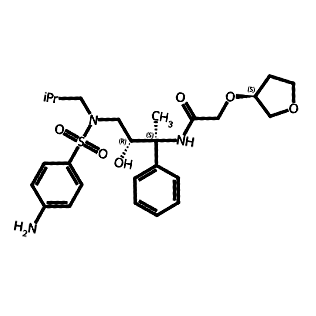 CC(C)CN(C[C@@H](O)[C@@](C)(NC(=O)CO[C@H]1CCOC1)c1ccccc1)S(=O)(=O)c1ccc(N)cc1